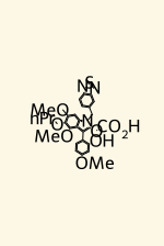 CCCOc1c(OC)cc2c(c1OC)c(-c1ccc(OC)cc1O)c(OC(=O)O)n2Cc1ccc2nsnc2c1